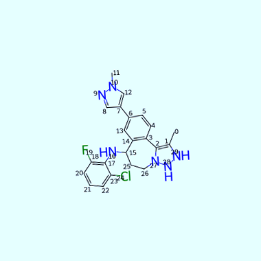 CC1=C2c3ccc(-c4cnn(C)c4)cc3C(Nc3c(F)cccc3Cl)CCN2NN1